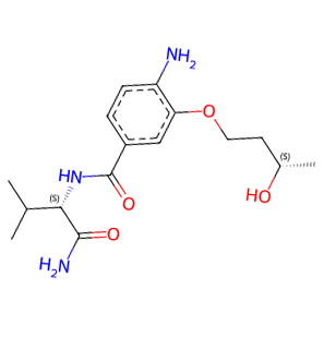 CC(C)[C@H](NC(=O)c1ccc(N)c(OCC[C@H](C)O)c1)C(N)=O